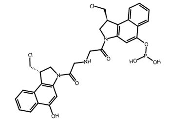 O=C(CNCC(=O)N1C[C@@H](CCl)c2c1cc(OP(O)O)c1ccccc21)N1C[C@@H](CCl)c2c1cc(O)c1ccccc21